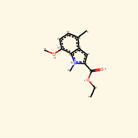 CCOC(=O)c1cc2c(C)ccc(OC)c2n1C